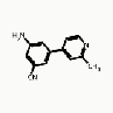 Cc1cc(-c2cc(N)cc(C#N)c2)ccn1